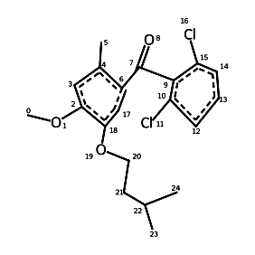 COc1cc(C)c(C(=O)c2c(Cl)cccc2Cl)cc1OCCC(C)C